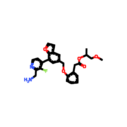 COCC(C)OC(=O)Cc1ccccc1OCc1cc(-c2ccnc(CN)c2F)c2occc2c1